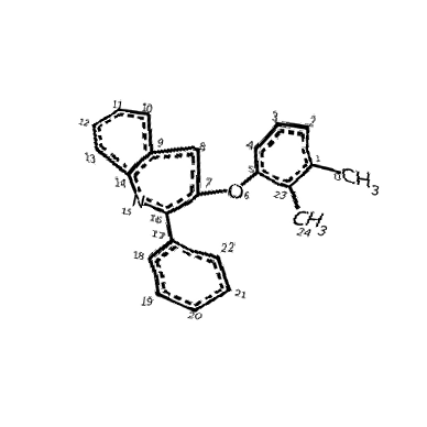 Cc1cccc(Oc2cc3ccccc3nc2-c2ccccc2)c1C